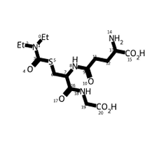 CCN(CC)C(=O)SCC(NC(=O)CCC(N)C(=O)O)C(=O)NCC(=O)O